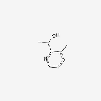 Cc1cccnc1C(C)O